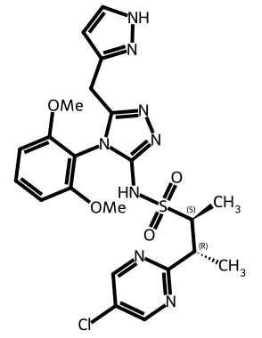 COc1cccc(OC)c1-n1c(Cc2cc[nH]n2)nnc1NS(=O)(=O)[C@@H](C)[C@H](C)c1ncc(Cl)cn1